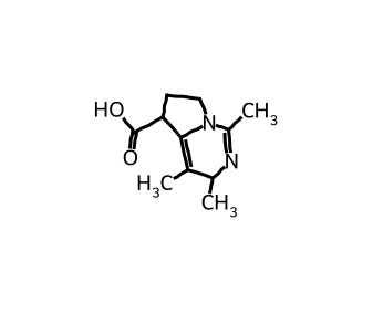 CC1=NC(C)C(C)=C2C(C(=O)O)CCN12